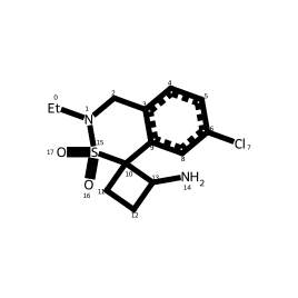 CCN1Cc2ccc(Cl)cc2C2(CCC2N)S1(=O)=O